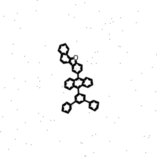 c1ccc(-c2cc(-c3ccccc3)cc(-c3c4ccccc4c(-c4ccc5oc6c7ccccc7ccc6c5c4)c4ccccc34)c2)cc1